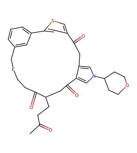 CC(=O)CCC1CC(=O)c2cn(C3CCOCC3)cc2CC(=O)c2csc(c2)-c2cccc(c2)CCCCC1=O